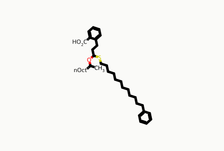 CCCCCCCCC(C)OC(CCc1ccccc1C(=O)O)SCCCCCCCCCCCCc1ccccc1